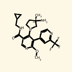 COc1ncc(C(=O)NCC2CC2)c(N2CC[C@](C)(N)C2)c1-c1ccnc(C(F)(F)F)c1